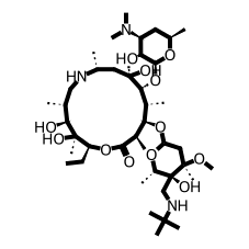 CC[C@@H]1OC(=O)[C@H](C)[C@H](OC2C[C@@](C)(OC)[C@](O)(CNC(C)(C)C)[C@H](C)O2)[C@@H](C)[C@@H](O[C@@H]2O[C@H](C)C[C@H](N(C)C)[C@H]2O)[C@](C)(O)C[C@@H](C)NC[C@@H](C)[C@H](O)[C@]1(C)O